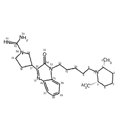 C[C@@H]1CCC[C@H](C)N1CCCCCn1c(=O)c(C2CCN(C(=N)N)C2)nc2ccccc21